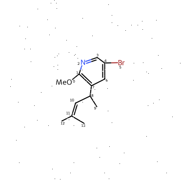 COc1ncc(Br)cc1C(C)C=C(C)C